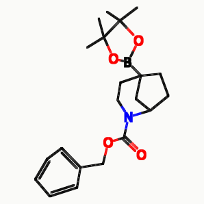 CC1(C)OB(C23CCC(C2)N(C(=O)OCc2ccccc2)CC3)OC1(C)C